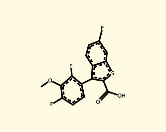 COc1c(F)ccc(-c2c(C(=O)O)sc3cc(F)ccc23)c1F